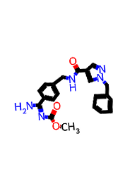 COC(=O)/N=C(/N)c1ccc(CNC(=O)c2cnn(Cc3ccccc3)c2)cc1